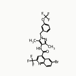 Cc1nn(Cc2cccc(OC(F)(F)F)c2)c(C)c1NC(=O)c1cc(C(F)(F)F)nc2ccc(Br)cc12